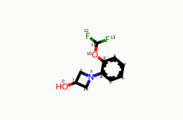 OC1CN(c2ccccc2OC(F)F)C1